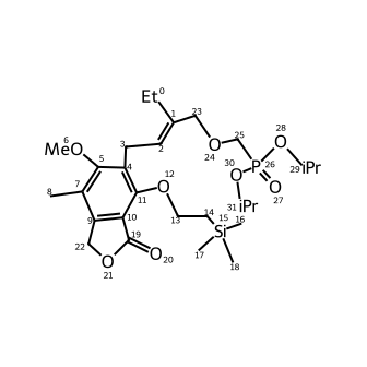 CC/C(=C\Cc1c(OC)c(C)c2c(c1OCC[Si](C)(C)C)C(=O)OC2)COCP(=O)(OC(C)C)OC(C)C